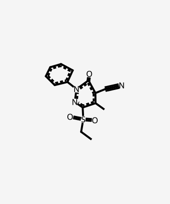 CCS(=O)(=O)c1nn(-c2ccccc2)c(=O)c(C#N)c1C